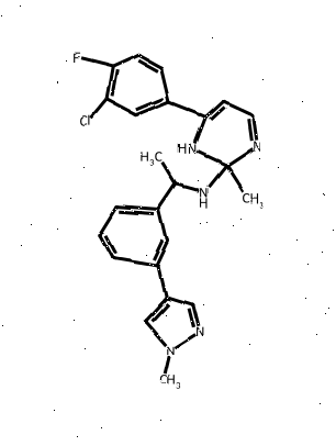 CC(NC1(C)N=CC=C(c2ccc(F)c(Cl)c2)N1)c1cccc(-c2cnn(C)c2)c1